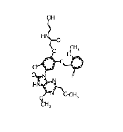 COCc1nc(OC)c2[nH]c(=O)n(-c3cc(OCc4c(F)cccc4OC)c(OCC(=O)NCCO)cc3Cl)c2n1